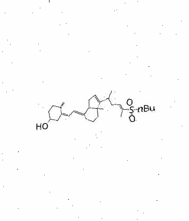 C=C1CCC(O)C/C1=C/C=C1\CCCC2(C)C(C(C)C/C=C(\C)S(=O)(=O)CCCC)=CCC12